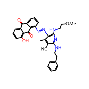 COCCNc1nc(NCCc2ccccc2)c(C#N)c(C)c1/N=N/c1cccc2c1C(=O)c1c(O)cccc1C2=O